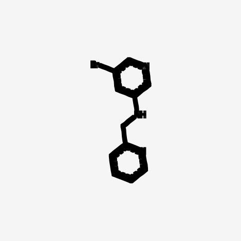 Brc1cncc(NCc2ccccn2)c1